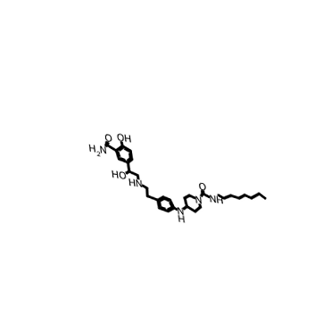 CCCCCCCCNC(=O)N1CCC(Nc2ccc(CCNCC(O)c3ccc(O)c(C(N)=O)c3)cc2)CC1